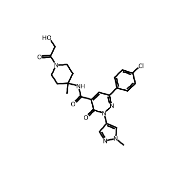 Cn1cc(-n2nc(-c3ccc(Cl)cc3)cc(C(=O)NC3(C)CCN(C(=O)CO)CC3)c2=O)cn1